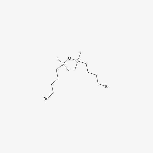 C[Si](C)(CCCCBr)O[Si](C)(C)CCCCBr